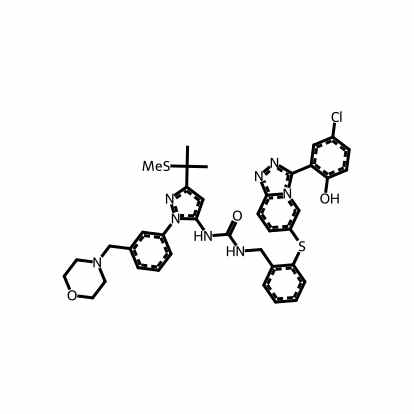 CSC(C)(C)c1cc(NC(=O)NCc2ccccc2Sc2ccc3nnc(-c4cc(Cl)ccc4O)n3c2)n(-c2cccc(CN3CCOCC3)c2)n1